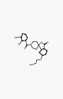 O=C1OC2(CCN(C(=O)c3cccc(Cl)c3Cl)CC2)c2cc(OCCO)ccc21